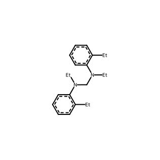 CCc1ccccc1N(CC)CN(CC)c1ccccc1CC